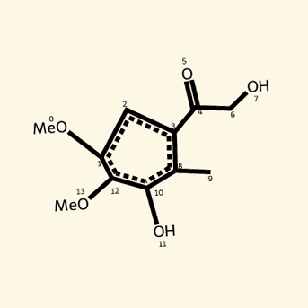 COc1cc(C(=O)CO)c(C)c(O)c1OC